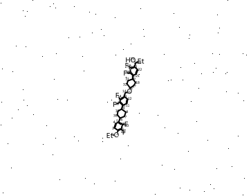 CCOc1ccc(C2CCC(c3ccc(COC4CCC(c5ccc(C(O)CC)c(F)c5F)CC4)c(F)c3F)CC2)c(F)c1F